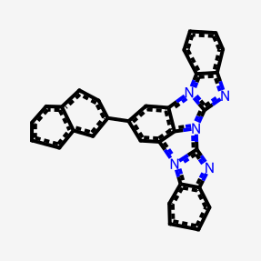 c1ccc2cc(-c3cc4c5c(c3)n3c6ccccc6nc3n5c3nc5ccccc5n43)ccc2c1